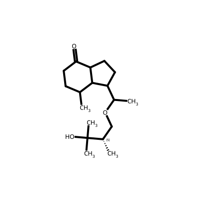 CC1CCC(=O)C2CCC(C(C)OC[C@H](C)C(C)(C)O)C12